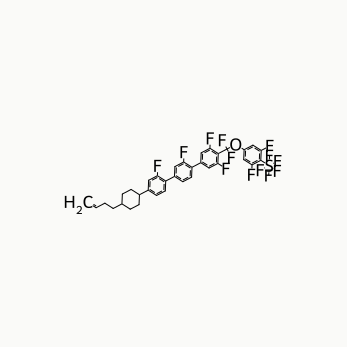 C=CCCC1CCC(c2ccc(-c3ccc(-c4cc(F)c(C(F)(F)Oc5cc(F)c(S(F)(F)(F)(F)F)c(F)c5)c(F)c4)c(F)c3)c(F)c2)CC1